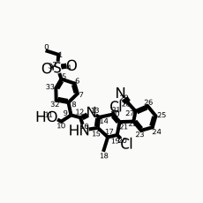 CCS(=O)(=O)c1ccc(C(CO)c2nc3c([nH]2)C(C)C(Cl)C(c2ccccc2C#N)=C3Cl)cc1